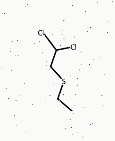 CCSCC(Cl)Cl